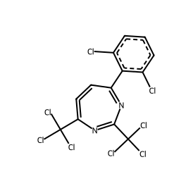 Clc1cccc(Cl)c1C1=NC(C(Cl)(Cl)Cl)=NC(C(Cl)(Cl)Cl)=C=C1